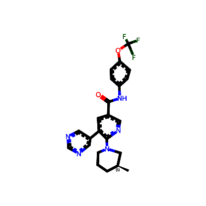 C[C@H]1CCCN(c2ncc(C(=O)Nc3ccc(OC(F)(F)F)cc3)cc2-c2cncnc2)C1